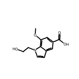 COc1cc(C(=O)O)cc2ccn(CCO)c12